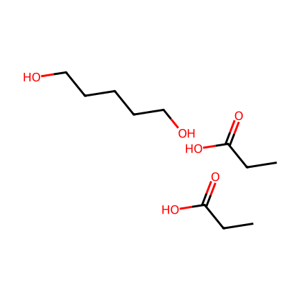 CCC(=O)O.CCC(=O)O.OCCCCCO